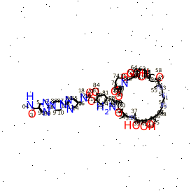 CNC(=O)c1cnc(N2CCN(c3ncc(CN(C)C(=O)O[C@@H]4CC[C@@H](C[C@@H](N)[C@@H]5CC(=O)[C@H](C)/C=C(\C)[C@@H](O)[C@@H](O)C(=O)[C@H](C)C[C@H](C)/C=C/C=C/C=C(\C)[C@@H](OC)C[C@@H]6CC[C@@H](C)[C@@](O)(O6)C(=O)C(=O)N6CCCC[C@H]6C(=O)O5)C[C@H]4OC)cn3)CC2)nc1